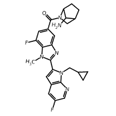 Cn1c(-c2cc3cc(F)cnc3n2CC2CC2)nc2cc(C(=O)N3CC4CCC3C4N)cc(F)c21